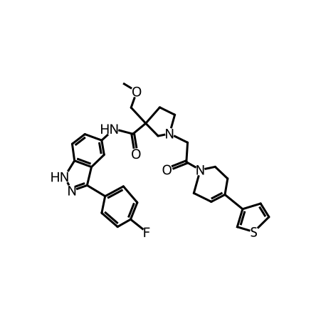 COCC1(C(=O)Nc2ccc3[nH]nc(-c4ccc(F)cc4)c3c2)CCN(CC(=O)N2CC=C(c3ccsc3)CC2)C1